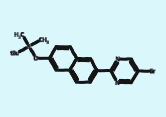 CC(C)(C)[Si](C)(C)Oc1ccc2cc(-c3ncc(Br)cn3)ccc2c1